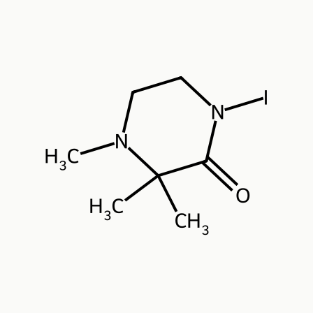 CN1CCN(I)C(=O)C1(C)C